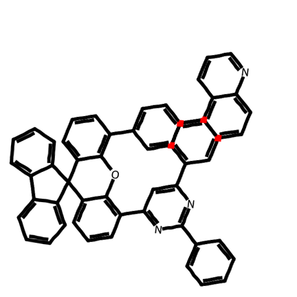 c1ccc(-c2cc(-c3cccc4c3Oc3c(-c5ccc(-c6cccc7ncccc67)cc5)cccc3C43c4ccccc4-c4ccccc43)nc(-c3ccccc3)n2)cc1